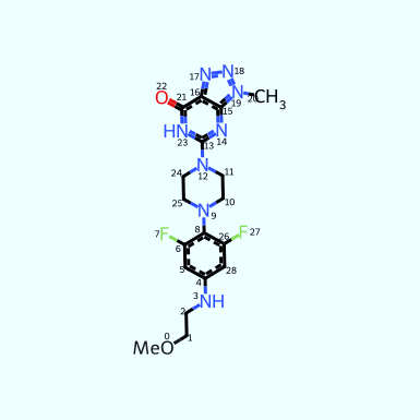 COCCNc1cc(F)c(N2CCN(c3nc4c(nnn4C)c(=O)[nH]3)CC2)c(F)c1